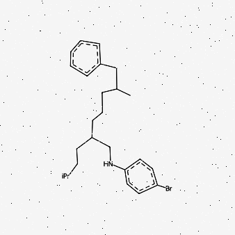 CC(C)CCC(CCCC(C)Cc1ccccc1)CNc1ccc(Br)cc1